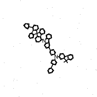 CC1(C)c2ccccc2-c2ccc(N(c3ccc(-c4ccccc4)cc3)c3ccc(-c4ccc5c(c4)c4ccccc4n5-c4cccc5c4-c4ccccc4C54c5ccccc5-c5c(-c6ccccc6)cccc54)cc3)cc21